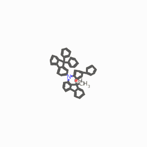 CC1(C)c2ccccc2-c2cccc(N(c3ccc(-c4ccccc4)cc3)c3ccc4c(c3)C(c3ccccc3)(c3ccccc3)c3ccccc3-4)c21